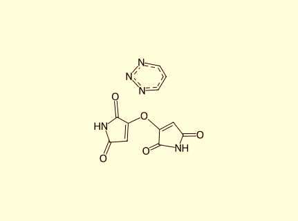 O=C1C=C(OC2=CC(=O)NC2=O)C(=O)N1.c1cnnnc1